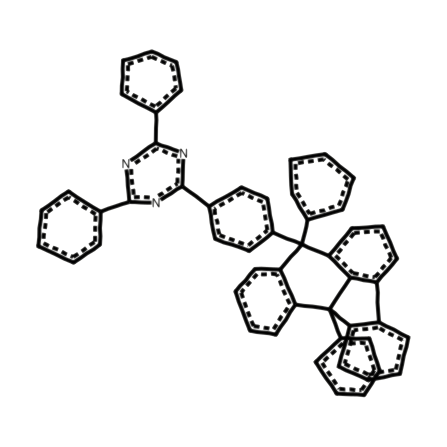 c1ccc(-c2nc(-c3ccccc3)nc(-c3ccc(C4(c5ccccc5)c5ccccc5C5(c6ccccc6)c6ccccc6-c6cccc4c65)cc3)n2)cc1